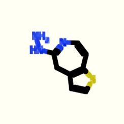 NNC1=NC=Cc2sccc2C1